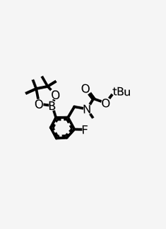 CN(Cc1c(F)cccc1B1OC(C)(C)C(C)(C)O1)C(=O)OC(C)(C)C